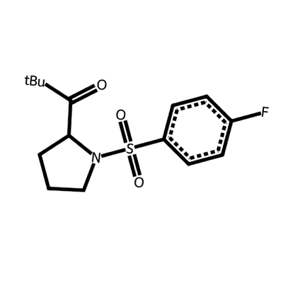 CC(C)(C)C(=O)C1CCCN1S(=O)(=O)c1ccc(F)cc1